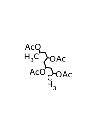 CC(=O)OC(C)CC(CC(CC(C)OC(C)=O)OC(C)=O)OC(C)=O